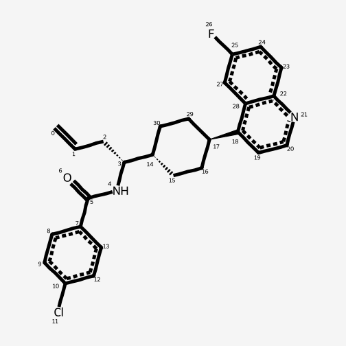 C=CC[C@@H](NC(=O)c1ccc(Cl)cc1)[C@H]1CC[C@H](c2ccnc3ccc(F)cc32)CC1